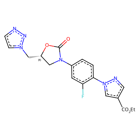 CCOC(=O)c1cnn(-c2ccc(N3C[C@H](Cn4ccnn4)OC3=O)cc2F)c1